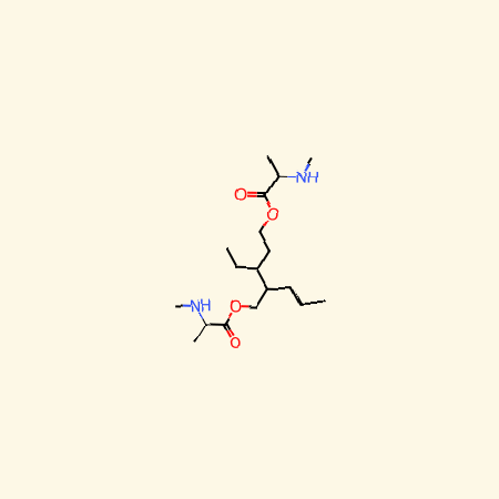 CCCC(COC(=O)C(C)NC)C(CC)CCOC(=O)C(C)NC